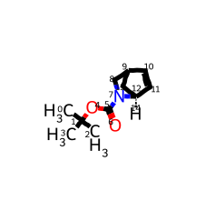 CC(C)(C)OC(=O)N1CC2C=C[C@@H]1C2